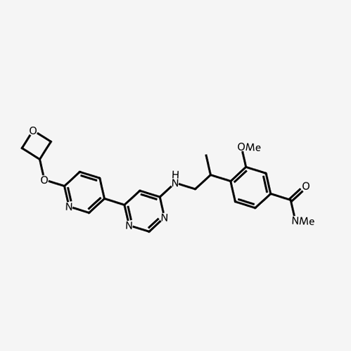 CNC(=O)c1ccc(C(C)CNc2cc(-c3ccc(OC4COC4)nc3)ncn2)c(OC)c1